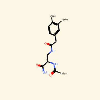 CCCCCCCCCC(=O)NC(CNC(=O)Cc1ccc(OC)c(OC)c1)C(N)=O